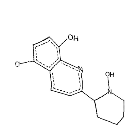 Oc1ccc(Cl)c2ccc([C]3CCCCN3O)nc12